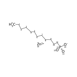 CCCCCCCCCCCCP(=O)([O-])[O-].[Zn+2]